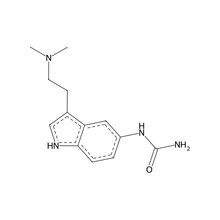 CN(C)CCc1c[nH]c2ccc(NC(N)=O)cc12